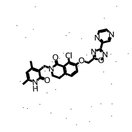 Cc1cc(C)c(CN2CCc3ccc(OCc4nc(-c5cnccn5)no4)c(Cl)c3C2=O)c(=O)[nH]1